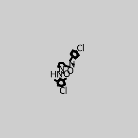 Cc1cc(Cl)cc(C)c1NC(=O)N1CCCC1C(=O)N(C)Cc1ccc(Cl)cc1